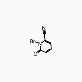 N#Cc1cccc(=O)n1Br